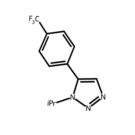 CC(C)n1nncc1-c1ccc(C(F)(F)F)cc1